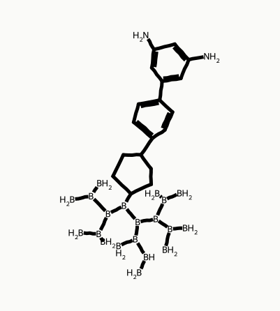 BBB(B)B(B(B(B)B)B(B)B)B(B(B(B)B)B(B)B)C1CCC(c2ccc(-c3cc(N)cc(N)c3)cc2)CC1